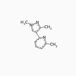 Cc1cccc(-c2cn(C)nc2C)n1